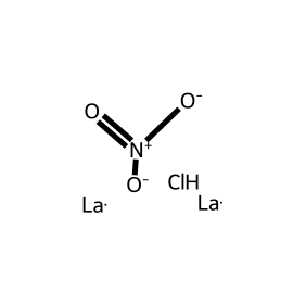 Cl.O=[N+]([O-])[O-].[La].[La]